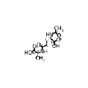 CC(=O)N[C@@H](CCC(=O)N[C@@H](C)C(=O)O)C(=O)O